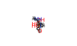 COc1cccc(N2c3ccccc3N(CC[C@H](O)CNC3CC3)S2(O)O)c1